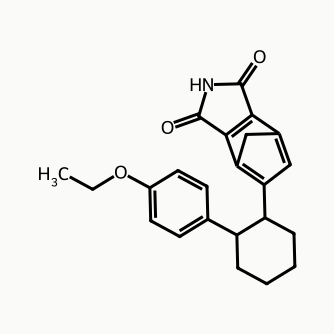 CCOc1ccc(C2CCCCC2C2=C3CC(=C2)C2=C3C(=O)NC2=O)cc1